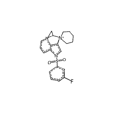 O=S(=O)(c1cccc(F)c1)n1cc([N+]2(C3CC3)CCCCC2)c2ncccc21